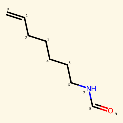 C=CCCCCCNC=O